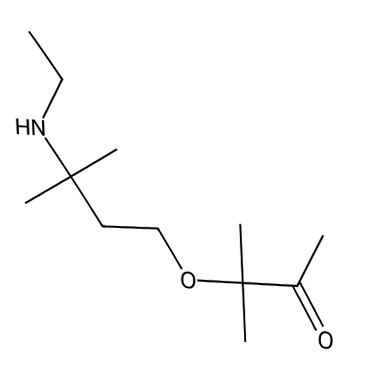 CCNC(C)(C)CCOC(C)(C)C(C)=O